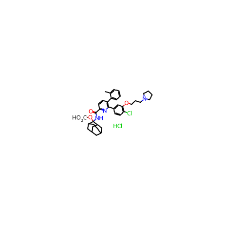 Cc1ccccc1-c1ccc(C(=O)NC2(OC(=O)O)C3CC4CC(C3)CC2C4)nc1-c1ccc(Cl)c(OCCCN2CCCC2)c1.Cl